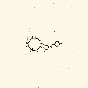 C=C1C[C@H](CC)C(C)(C)[C@H](C)[C@@H](C)N(C)C[C@H](C)CC(C)(C)[C@H](C[C@@H]2C[C@H](C)C[C@H](N(C)Cc3ccc(C)cc3)[C@H]2C)[C@@H](C)[C@H](C)[C@H]1C